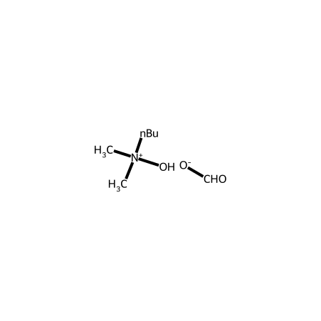 CCCC[N+](C)(C)O.O=C[O-]